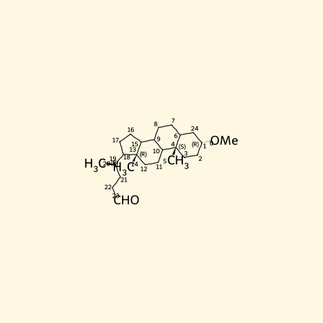 CO[C@@H]1CC[C@@]2(C)C(CCC3C2CC[C@@]2(C)C3CCC2[C@H](C)CCC=O)C1